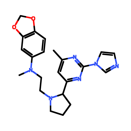 Cc1cc(C2CCCN2CCN(C)c2ccc3c(c2)OCO3)nc(-n2ccnc2)n1